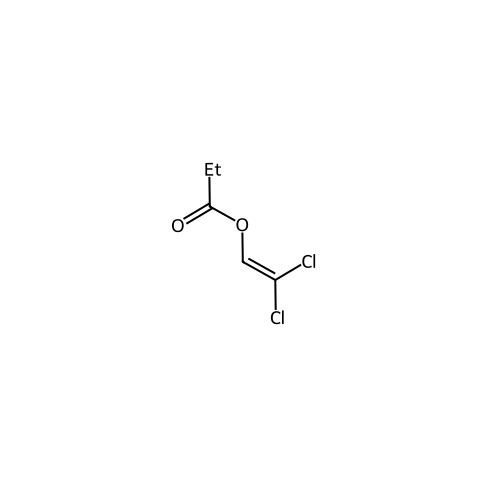 CCC(=O)OC=C(Cl)Cl